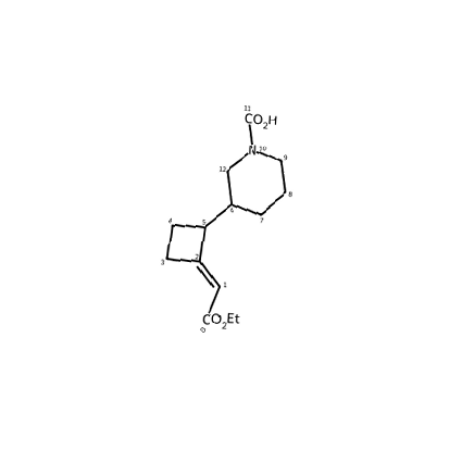 CCOC(=O)C=C1CCC1C1CCCN(C(=O)O)C1